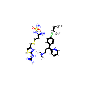 CN(C)CCC(c1ccc(Cl)cc1)c1ccccn1.N=C(N)Nc1nc(CSCCC(=N)NS(N)(=O)=O)cs1.O=C(O)/C=C\C(=O)O